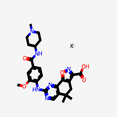 COc1cc(C(=O)NC2CCN(C)CC2)ccc1Nc1ncc2c(n1)-c1onc(C(=O)O)c1CC2(C)C.[K]